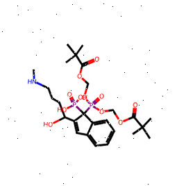 CNCCCC(O)C1=Cc2ccccc2C1(P(=O)(O)O)P(=O)(OCOC(=O)C(C)(C)C)OCOC(=O)C(C)(C)C